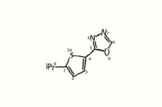 CC(C)c1ccc(-c2nnco2)s1